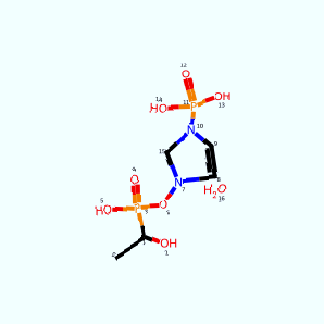 CC(O)P(=O)(O)ON1C=CN(P(=O)(O)O)C1.O